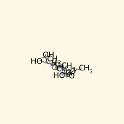 C=C1/C(=C\C=C2/CCC[C@]3(C)[C@@H]([C@H](C)/C=C/[C@@H](O)C4(OC(=O)OCCCC)CC4)CC[C@@H]23)CC(O)CC1O